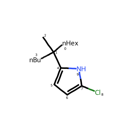 CCCCCCC(C)(CCCC)c1ccc(Cl)[nH]1